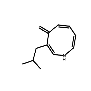 C=C1/C=C\C=C/N/C=C\1CC(C)C